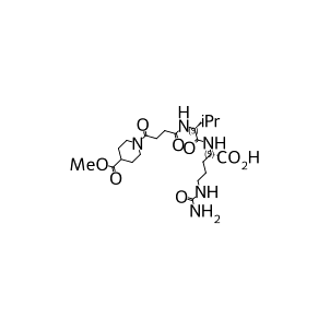 COC(=O)C1CCN(C(=O)CCC(=O)N[C@H](C(=O)N[C@@H](CCCNC(N)=O)C(=O)O)C(C)C)CC1